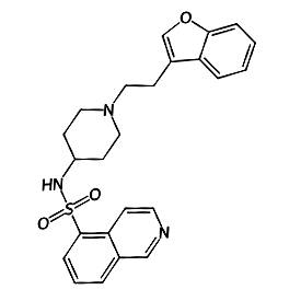 O=S(=O)(NC1CCN(CCc2coc3ccccc23)CC1)c1cccc2cnccc12